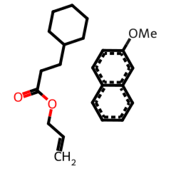 C=CCOC(=O)CCC1CCCCC1.COc1ccc2ccccc2c1